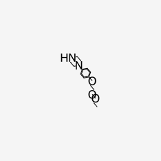 CCOOCCOc1ccc(N2CCNCC2)cc1